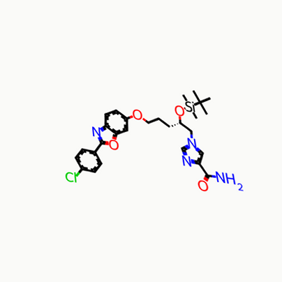 CC(C)(C)[Si](C)(C)O[C@@H](CCCOc1ccc2nc(-c3ccc(Cl)cc3)oc2c1)Cn1cnc(C(N)=O)c1